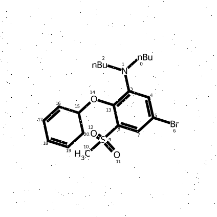 CCCCN(CCCC)c1cc(Br)cc(S(C)(=O)=O)c1OC1C=CC=CC1